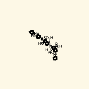 Cc1c(N=Nc2cc(S(=O)O)c3ccc(N=Nc4ccccc4)c(O)c3c2N)ccc2c(O)c(N=Nc3ccc(NNc4ccccc4)cc3)c(S(=O)(=O)O)cc12